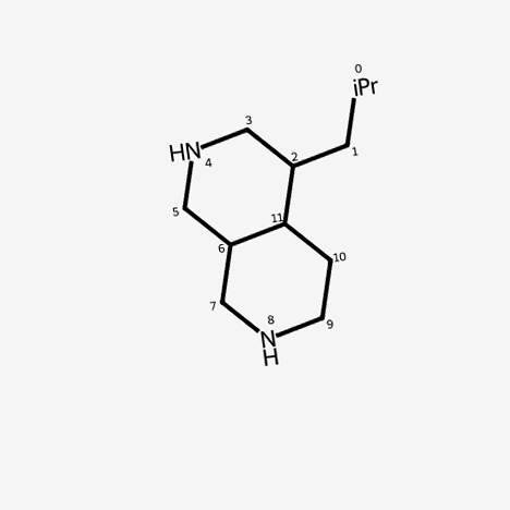 CC(C)CC1CNCC2CNCCC21